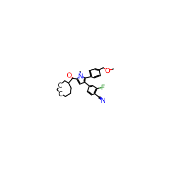 COCc1ccc(-c2c(-c3ccc(C#N)c(F)c3)cc(C(=O)C3CCCCCCC3)n2C)cc1